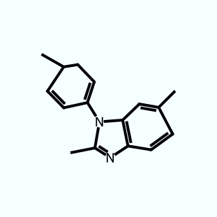 Cc1ccc2nc(C)n(C3=CCC(C)C=C3)c2c1